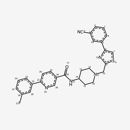 N#Cc1cccc(-c2csc(CN3CCC(NC(=O)c4ccc(-c5cccc(F)c5)nc4)CC3)n2)c1